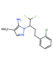 CCOC(=O)c1cnn(C(CCc2ccccc2Cl)C(F)F)c1N